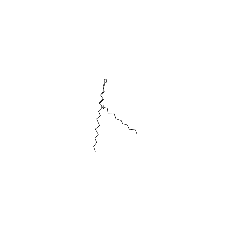 CCCCCCCCCCN(/C=C/C=C/C=O)CCCCCCCCCC